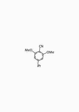 COc1cc(C(C)C)cc(OC)c1C#N